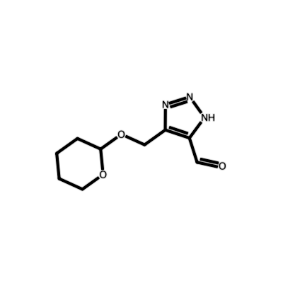 O=Cc1[nH]nnc1COC1CCCCO1